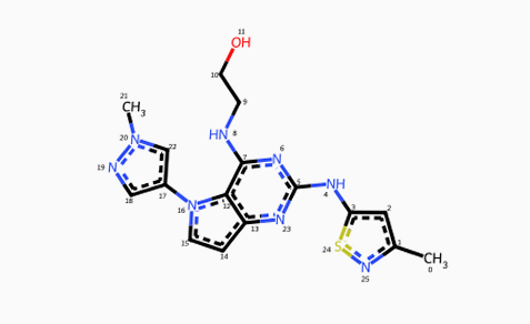 Cc1cc(Nc2nc(NCCO)c3c(ccn3-c3cnn(C)c3)n2)sn1